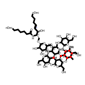 CCCCCCCCCCCCC/C=C/[C@@H](O)[C@H](CO[C@@H]1OC(CO)[C@@H](O[C@@H]2OC(CO)[C@H](O)[C@H](O[C@@H]3OC(CO)[C@@H](O[C@@H]4OC(CO)[C@H](O)[C@H](O[C@H]5OC(CO)[C@H](O)[C@H](O)C5O)C4O[C@H]4OC(C)[C@@H](O)C(O)[C@@H]4O)[C@H](O[C@H]4OC(C)[C@@H](O)C(O)[C@@H]4O)C3NC(C)=O)C2O)[C@H](O)C1O)NC(=O)CCCCCCCCCCCCCCC